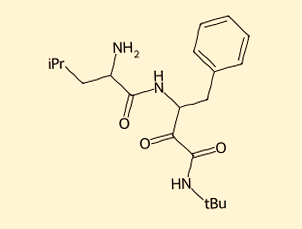 CC(C)CC(N)C(=O)NC(Cc1ccccc1)C(=O)C(=O)NC(C)(C)C